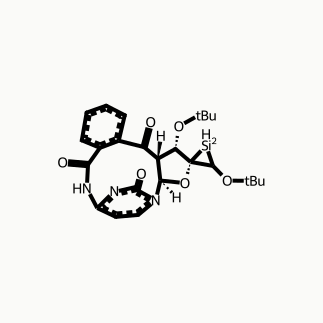 CC(C)(C)OC1[SiH2][C@@]12O[C@@H]1[C@H](C(=O)c3ccccc3C(=O)Nc3ccn1c(=O)n3)[C@@H]2OC(C)(C)C